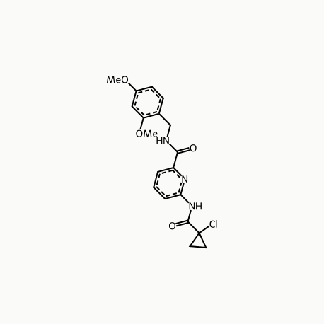 COc1ccc(CNC(=O)c2cccc(NC(=O)C3(Cl)CC3)n2)c(OC)c1